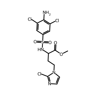 COC(=O)C(CCn1ccnc1Cl)NS(=O)(=O)c1cc(Cl)c(N)c(Cl)c1